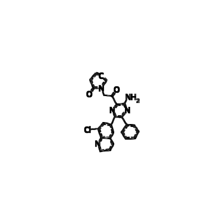 Nc1nc(-c2ccccc2)c(-c2cc(Cl)c3ncccc3c2)nc1C(=O)Cn1ccccc1=O